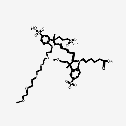 COCCOCCOCCOCCOCC[N+]1=C(/C=C/C=C/C=C2/N(CCCCCC(=O)O)c3ccc(S(=O)(=O)[O-])cc3C2(C)CCOC)C(C)(CCCS(=O)(=O)O)c2cc(S(=O)(=O)O)ccc21